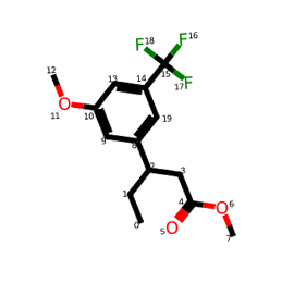 CCC(CC(=O)OC)c1cc(OC)cc(C(F)(F)F)c1